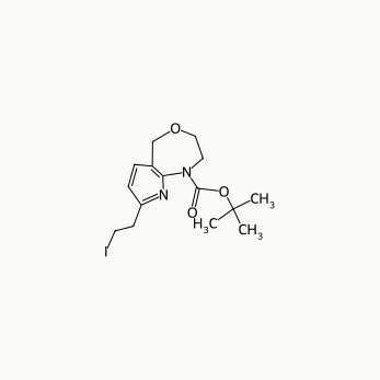 CC(C)(C)OC(=O)N1CCOCc2ccc(CCI)nc21